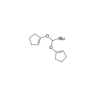 CC(C)(C)[C](OC1=CCCC1)OC1=CCCC1